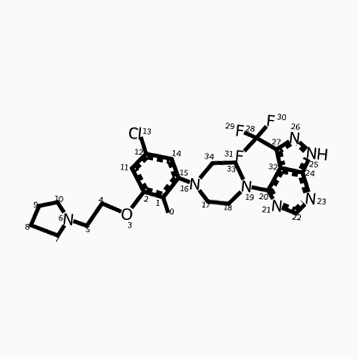 Cc1c(OCCN2CCCC2)cc(Cl)cc1N1CCN(c2ncnc3[nH]nc(C(F)(F)F)c23)CC1